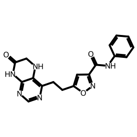 O=C1CNc2c(CCc3cc(C(=O)Nc4ccccc4)no3)ncnc2N1